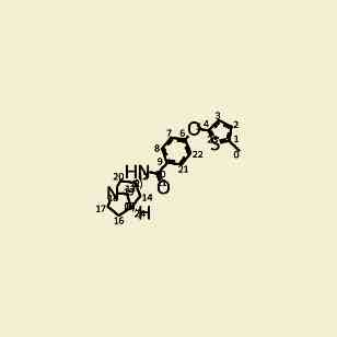 Cc1ccc(Oc2ccc(C(=O)N[C@@H]3C[C@H]4CCN(C4)C3)cc2)s1